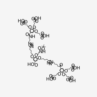 CC(C)(C)OC(=O)NCCOc1c(OCCCCc2cn(CCCCC(=O)c3cc(OCCCS(=O)(=O)O)c(OCCCS(=O)(=O)O)c(OCCCS(=O)(=O)O)c3)nn2)cc(C(=O)O)cc1OCCCCc1cn(CCCNC(=O)c2cc(OCCCS(=O)(=O)O)c(OCCCS(=O)(=O)O)c(OCCCS(=O)(=O)O)c2)nn1